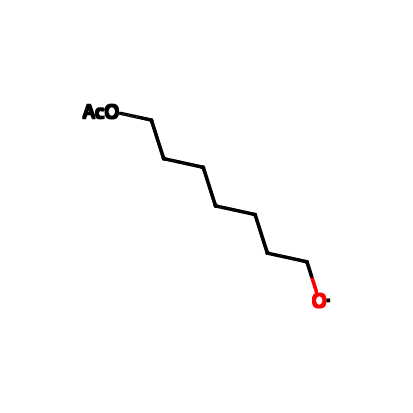 CC(=O)OCCCCCCC[O]